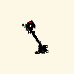 CCOc1cc(C(C)(C)C)ccc1C1=N[C@]2(c3ccc(Cl)cc3)c3cc(Cl)ccc3[C@@]2(C)N1C(=O)N1CCN(CCOCCOCCOCCOCCC(=O)NCCn2nc3c(c2C#N)-c2cnc(N)c(c2)N2CCC[C@@H]2c2cc(F)ccc2C(=O)N(C2CC2)C3)CC1